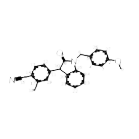 COc1ccc(CN2C(=O)C(c3ccc(C#N)c(C)c3)c3ccccc32)cc1